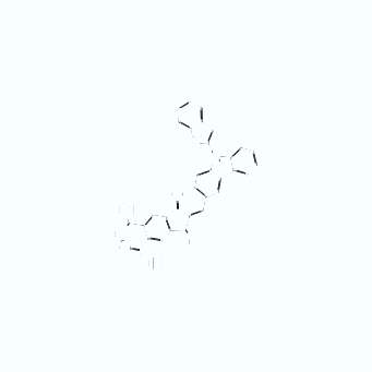 O=C(O)c1cc2c(cc1C(=O)O)C(=O)C(=Cc1ccc3c(c1)c1ccccc1n3-c1cc3ccccc3s1)C2=O